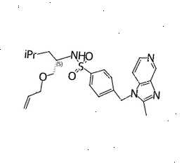 C=CCOC[C@H](CC(C)C)NS(=O)(=O)c1ccc(Cn2c(C)nc3cnccc32)cc1